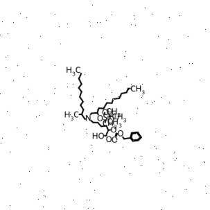 CCCCCCCCCCC(C)CN(CCCCC(OC(=O)OCc1ccccc1)C(=O)O)CC(CCCCCCCCCC)O[Si](C)(C)C(C)(C)C